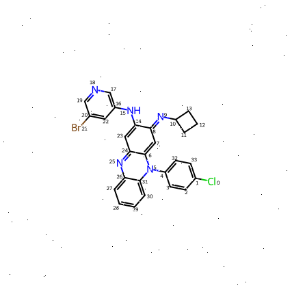 Clc1ccc(-n2c3c/c(=N\C4CCC4)c(Nc4cncc(Br)c4)cc-3nc3ccccc32)cc1